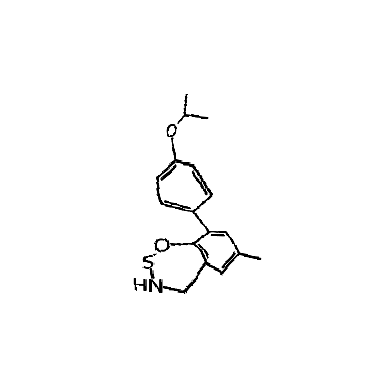 Cc1cc2c(c(-c3ccc(OC(C)C)cc3)c1)OSNC2